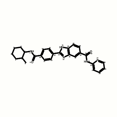 CC1CCCCC1NC(=O)c1ccc(-c2nc3cc(C(=O)Nc4ccccn4)ccc3[nH]2)cc1